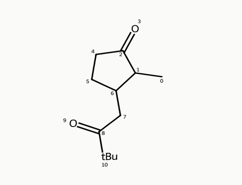 CC1C(=O)CCC1CC(=O)C(C)(C)C